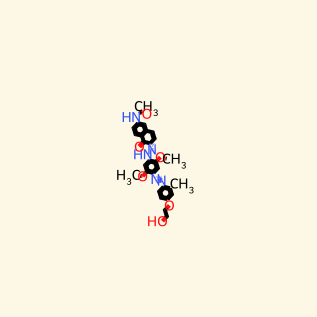 COc1cc(N/N=C2/C=Cc3cc(NC(C)=O)ccc3C2=O)c(OC)cc1/N=N/c1ccc(OCCO)cc1C